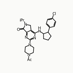 CC(=O)N1CCN(c2nc(NC3CCCC3c3ccc(Cl)cc3)c3c(n2)C(=O)N(C(C)C)C3)CC1